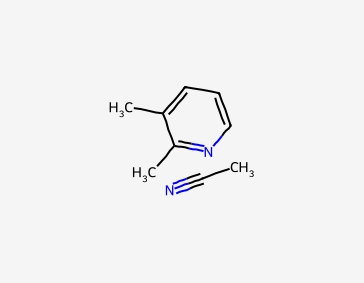 CC#N.Cc1cccnc1C